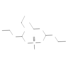 CCOC(OCC)OP(=O)(O)OC(OCC)OCC